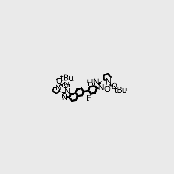 CC(C)(C)OC(=O)N1CCC[C@H]1c1nc2cc(F)c(-c3ccc4c(ccc5nc([C@@H]6CCCN6C(=O)OC(C)(C)C)[nH]c54)c3)cc2[nH]1